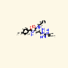 CC(C)C[CH]NC(=O)[C@H](CCCNC(=N)N[N+](=O)[O-])NC(=O)c1ccc(C(C)(C)C)cc1